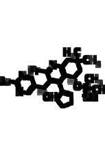 CC(C)c1nc2c(c(C3=CCCC3)c1[C@H](O)c1cnc(C(C)(C)C)nc1)[C@@H](O[Si](C)(C)C(C)(C)C)CC(C)(C)C2